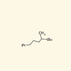 [CH2]C(C)(C)C(C)CCCC(C)C